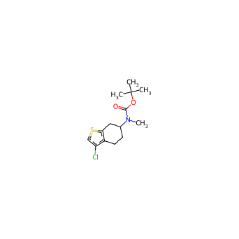 CN(C(=O)OC(C)(C)C)C1CCc2c(Cl)csc2C1